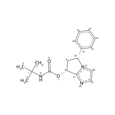 CC(C)(C)NC(=O)O[C@@H]1C[C@H](c2ccccc2)n2ccnc21